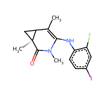 CC1=C(Nc2ccc(I)cc2F)N(C)C(=O)[C@@]2(C)CC12